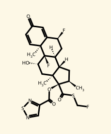 C[C@@H]1C[C@H]2[C@@H]3C[C@H](F)C4=CC(=O)C=C[C@]4(C)[C@@]3(F)[C@@H](O)C[C@]2(C)[C@@]1(OC(=O)c1cnsn1)C(=O)SCF